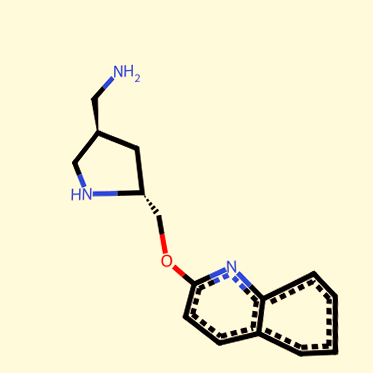 NC[C@@H]1CN[C@@H](COc2ccc3ccccc3n2)C1